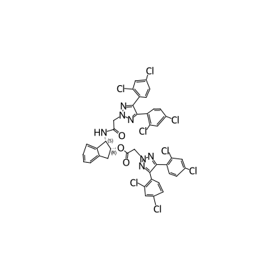 O=C(Cn1nc(-c2ccc(Cl)cc2Cl)c(-c2ccc(Cl)cc2Cl)n1)N[C@H]1c2ccccc2C[C@H]1OC(=O)Cn1nc(-c2ccc(Cl)cc2Cl)c(-c2ccc(Cl)cc2Cl)n1